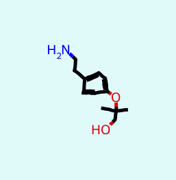 CC(C)(CO)Oc1ccc(CCN)cc1